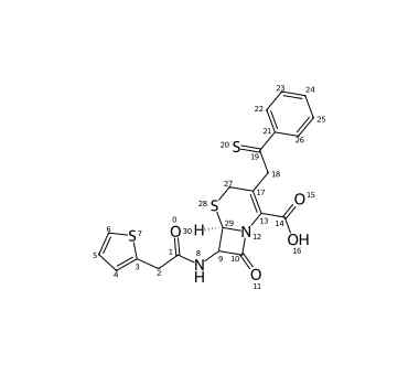 O=C(Cc1cccs1)NC1C(=O)N2C(C(=O)O)=C(CC(=S)c3ccccc3)CS[C@H]12